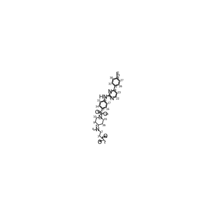 CN(CCS(C)(=O)=O)C1CCN(S(=O)(=O)c2ccc(Nc3nccc(-c4ccc(F)cc4)n3)cc2)CC1